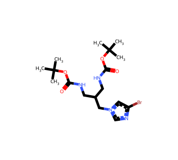 CC(C)(C)OC(=O)NCC(CNC(=O)OC(C)(C)C)Cn1cnc(Br)c1